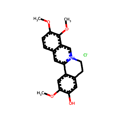 COc1cc2c(cc1O)CC[n+]1cc3c(OC)c(OC)ccc3cc1-2.[Cl-]